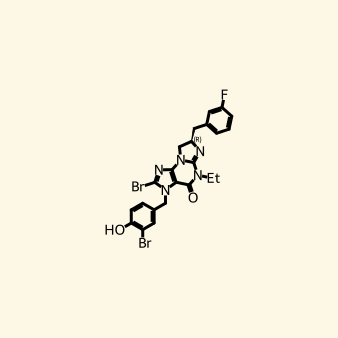 CCN1C(=O)c2c(nc(Br)n2Cc2ccc(O)c(Br)c2)N2C[C@@H](Cc3cccc(F)c3)N=C12